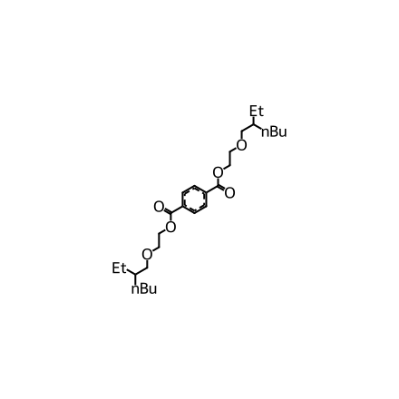 CCCCC(CC)COCCOC(=O)c1ccc(C(=O)OCCOCC(CC)CCCC)cc1